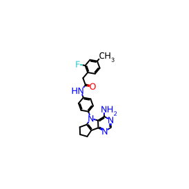 Cc1ccc(CC(=O)Nc2ccc(-n3c4c(c5ncnc(N)c53)CCC4)cc2)c(F)c1